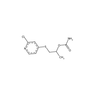 CC(CSc1ccnc(Cl)c1)OC(N)=O